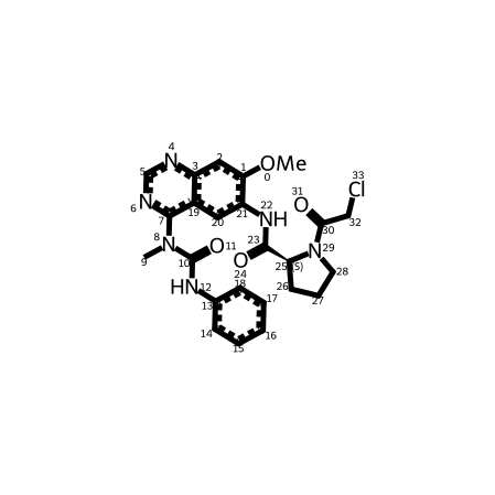 COc1cc2ncnc(N(C)C(=O)Nc3ccccc3)c2cc1NC(=O)[C@@H]1CCCN1C(=O)CCl